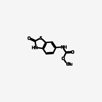 CC(C)(C)OC(=O)Nc1ccc2[nH]c(=O)sc2c1